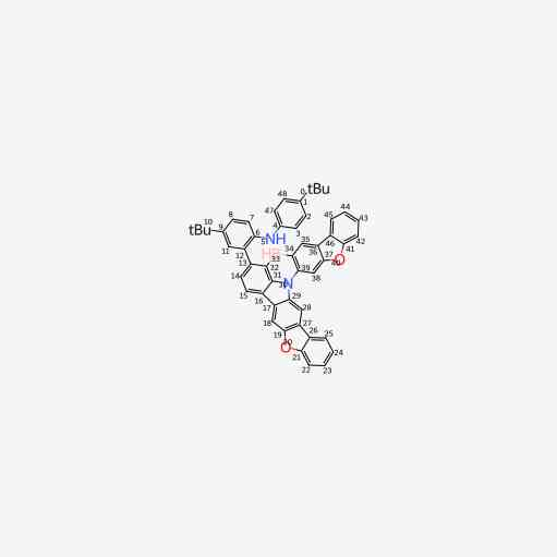 CC(C)(C)c1ccc(Nc2ccc(C(C)(C)C)cc2-c2ccc3c4cc5oc6ccccc6c5cc4n4c3c2Bc2cc3c(cc2-4)oc2ccccc23)cc1